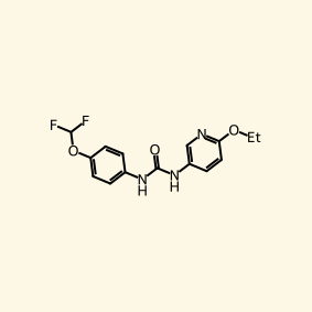 CCOc1ccc(NC(=O)Nc2ccc(OC(F)F)cc2)cn1